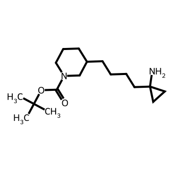 CC(C)(C)OC(=O)N1CCCC(CCCCC2(N)CC2)C1